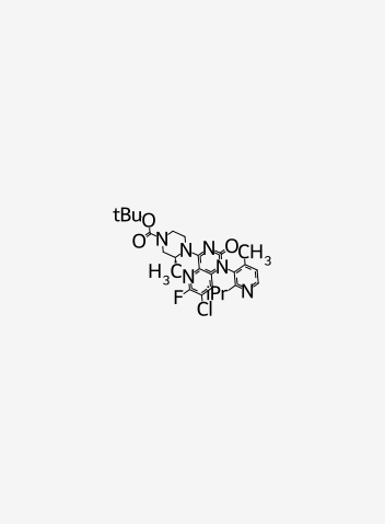 Cc1ccnc(C(C)C)c1-n1c(=O)nc(N2CCN(C(=O)OC(C)(C)C)C[C@@H]2C)c2nc(F)c(Cl)cc21